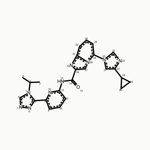 CC(C)n1cnnc1-c1cccc(NC(=O)c2cn3c(-n4cnc(C5CC5)c4)cccc3n2)n1